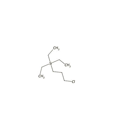 CC[Si](CC)(CC)CCCCl